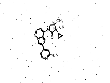 C[C@@H]1CN(c2ccnn3cc(-c4ccnc(C#N)c4)cc23)C(=O)[C@]1(C#N)C1CC1